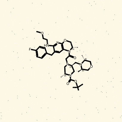 COCCNc1nc2c(cc1Cc1ccc(F)cc1)N(C(=O)CN1C[C@@H](C)N(C(=O)OC(C)(C)C)C[C@@H]1CN1[C@H](C)COC[C@H]1C)[C@@H](C)CO2